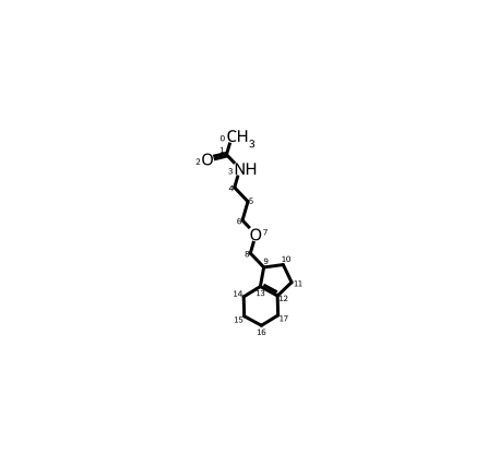 CC(=O)NCCCOCC1CCC2=C1CCCC2